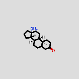 C[C@]12CCC(=O)CC1CC[C@H]1[C@@H]3CCC[C@@]3(N)CC[C@@H]12